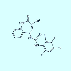 O=C(Nc1c(I)cc(I)c(I)c1I)NC1C=C(O)C(=O)Nc2ccccc21